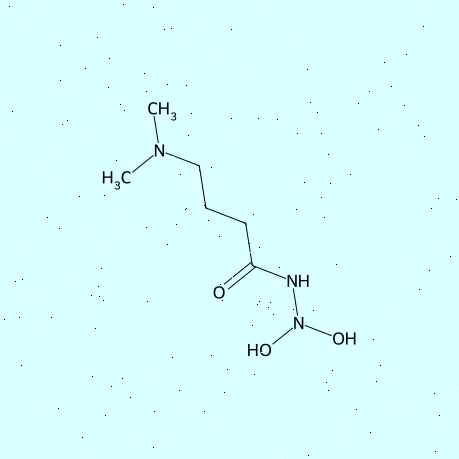 CN(C)CCCC(=O)NN(O)O